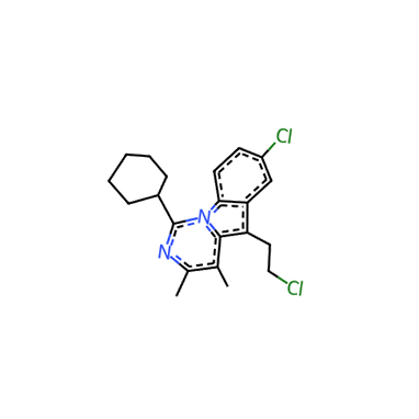 Cc1nc(C2CCCCC2)n2c(c1C)c(CCCl)c1cc(Cl)ccc12